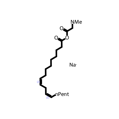 CCCCC/C=C\C/C=C\CCCCCCCC(=O)OC(=O)CNC.[Na]